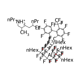 CCCCCCC(F)(F)C(F)(F)[C](F)(F)[Al-]([C](F)(F)C(F)(F)C(F)(F)CCCCCC)([C](F)(F)C(F)(F)C(F)(F)CCCCCC)[C](F)(F)C(F)(F)C(F)(F)CCCCCC.CCC[NH2+]CC(C)CCC(CC)CCC.Fc1c(F)c(F)c(-c2c(C(F)(F)F)c(F)c(F)c(F)c2C(F)(F)C(F)(F)F)c(F)c1F